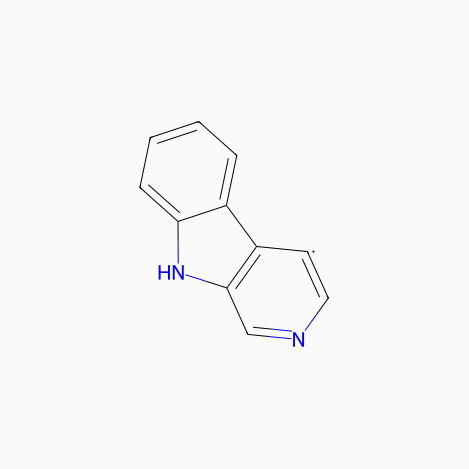 [c]1cncc2[nH]c3ccccc3c12